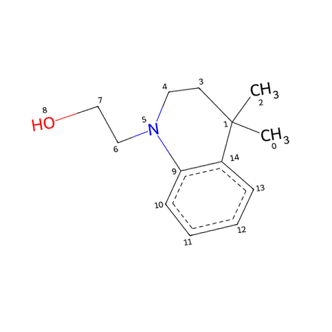 CC1(C)CCN(CCO)c2ccccc21